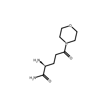 NC(=O)[C@@H](N)CCC(=O)N1CCOCC1